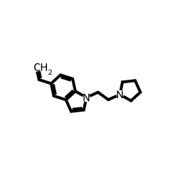 C=Cc1ccc2c(ccn2CCN2CCCC2)c1